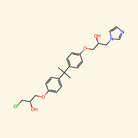 CC(C)(c1ccc(OC[C@@H](O)Cn2ccnc2)cc1)c1ccc(OC[C@@H](O)CCl)cc1